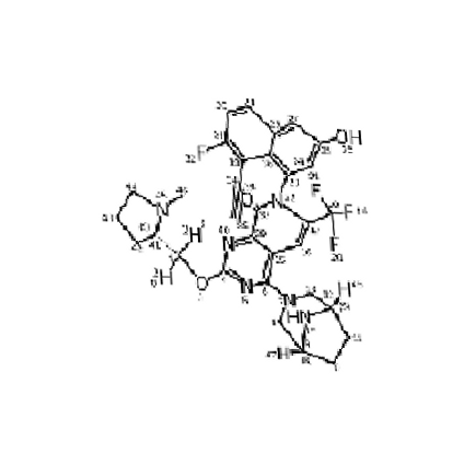 [2H]C([2H])(Oc1nc(N2C[C@H]3CC[C@@H](C2)N3)c2cc(C(F)(F)F)n(-c3cc(O)cc4ccc(F)c(C#C)c34)c(=O)c2n1)[C@@H]1CCCN1C